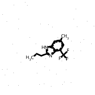 CCCc1nc2c(C(F)(F)F)cc(C)cc2[nH]1